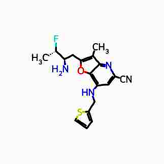 Cc1c(C[C@@H](N)[C@H](C)F)oc2c(NCc3cccs3)cc(C#N)nc12